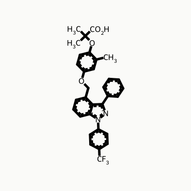 Cc1cc(OCc2cccc3c2c(-c2ccccc2)nn3-c2ccc(C(F)(F)F)cc2)ccc1OC(C)(C)C(=O)O